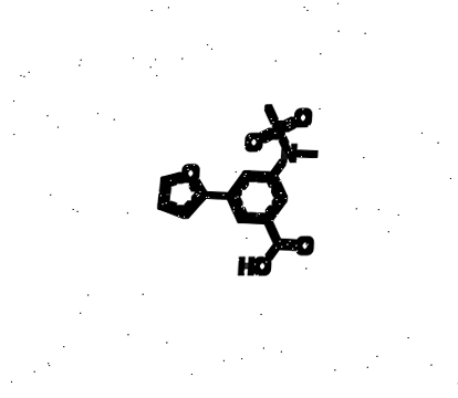 CN(c1cc(C(=O)O)cc(-c2ccco2)c1)S(C)(=O)=O